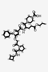 CCCOC(=O)CCC(NC(=O)c1cc(OCC(=O)N2CCCC2C(=O)NC2CCC2)n(-c2ccccc2)n1)C(=O)N1CCN(C(=O)O)CC1